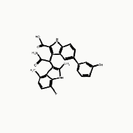 Cc1[nH]c2c(F)ccc(C)c2c1C(C(N)=O)c1c(C(=O)O)[nH]c2ccc(-c3cccc(O)c3)cc12